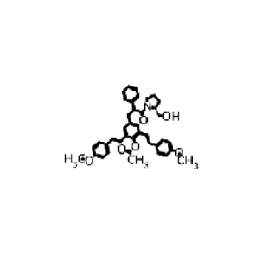 COc1ccc(CCc2cc(CC(C(=O)N3CCC[C@H]3CO)c3ccccc3)cc(CCc3ccc(OC)cc3)c2OC(C)=O)cc1